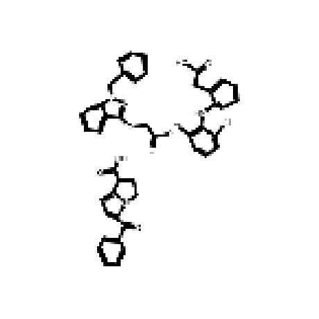 O=C(O)COc1nn(Cc2ccccc2)c2ccccc12.O=C(O)Cc1ccccc1Nc1c(Cl)cccc1Cl.O=C(c1ccccc1)c1ccc2n1CCC2C(=O)O